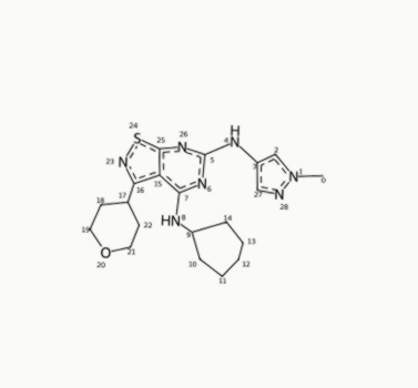 Cn1cc(Nc2nc(NC3CCCCC3)c3c(C4CCOCC4)nsc3n2)cn1